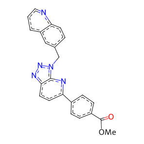 COC(=O)c1ccc(-c2ccc3nnn(Cc4ccc5ncccc5c4)c3n2)cc1